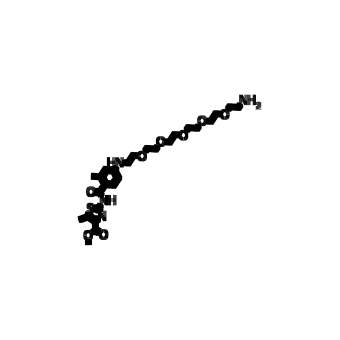 COC(=O)c1nc(NC(=O)c2ccc(NCCOCCOCCOCCOCCOCCN)cc2C)sc1C